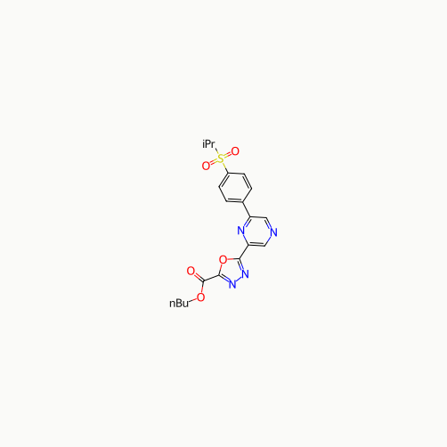 CCCCOC(=O)c1nnc(-c2cncc(-c3ccc(S(=O)(=O)C(C)C)cc3)n2)o1